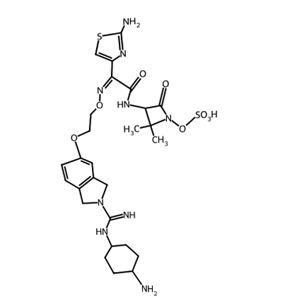 CC1(C)C(NC(=O)/C(=N\OCCOc2ccc3c(c2)CN(C(=N)NC2CCC(N)CC2)C3)c2csc(N)n2)C(=O)N1OS(=O)(=O)O